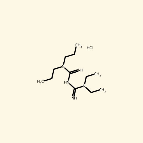 CCCN(CCC)C(=N)NC(=N)N(CC)CC.Cl